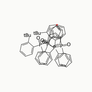 CC(C)(C)c1ccccc1P(=O)(c1ccccc1)c1ccccc1P(c1ccccc1)(c1ccccc1)(P(=O)(c1ccccc1)c1ccccc1C(C)(C)C)P(=O)(c1ccccc1)c1ccccc1C(C)(C)C